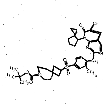 Cc1cc(S(=O)(=O)C2CC3(CCN(C(=O)OC(C)(C)C)CC3)C2)ccc1Nc1ncc2cc(Cl)c(=O)n(C3CCCC34CC4)c2n1